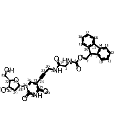 O=C(CNC(=O)OCC1c2ccccc2-c2ccccc21)NCC#Cc1cn([C@H]2C[C@H](O)[C@@H](CO)O2)c(=O)[nH]c1=O